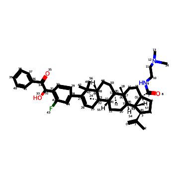 C=C(C)[C@@H]1CC[C@]2(C(=O)NCCN(C)C)CC[C@]3(C)[C@H](CC[C@@H]4[C@@]5(C)CC=C(c6ccc(C(O)C(=O)c7ccccc7)c(F)c6)C(C)(C)[C@@H]5CC[C@]43C)[C@@H]12